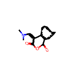 CN(C)C=C1C(=O)OC(=O)c2ccccc21